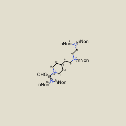 CCCCCCCCCN(CCCCCCCCC)CCN(CCCCCCCCC)CCC1CCN([C@@H](C=O)N(CCCCCCCCC)CCCCCCCCC)CC1